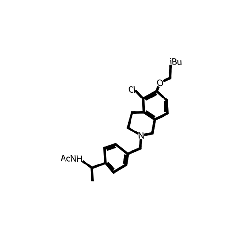 CCC(C)COc1ccc2c(c1Cl)CCN(Cc1ccc(C(C)NC(C)=O)cc1)C2